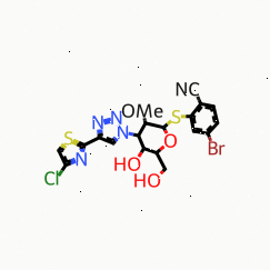 COC1C(Sc2cc(Br)ccc2C#N)OC(CO)C(O)C1n1cc(-c2nc(Cl)cs2)nn1